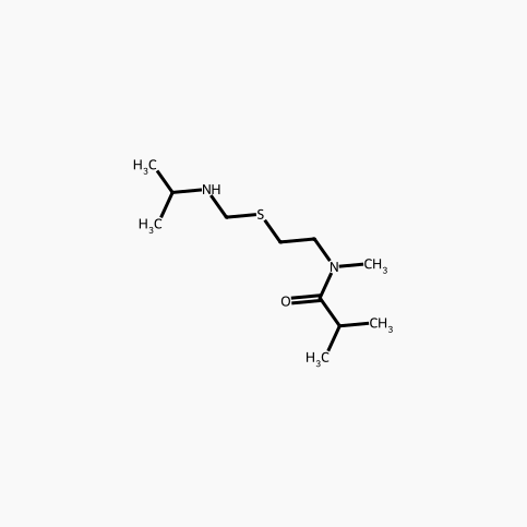 CC(C)NCSCCN(C)C(=O)C(C)C